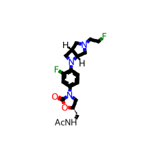 CC(=O)NC[C@H]1CN(c2ccc(N3C[C@@H]4CN(CCF)C[C@@H]43)c(F)c2)C(=O)O1